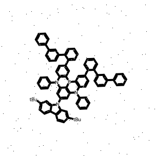 CC(C)(C)c1ccc2c3ccc(C(C)(C)C)cc3n(-c3cc4c5c(c3)N(c3ccccc3)c3ccc(-c6ccccc6-c6cccc(-c7ccccc7)c6)cc3B5c3cc(-c5ccccc5-c5cccc(-c6ccccc6)c5)ccc3N4c3ccccc3)c2c1